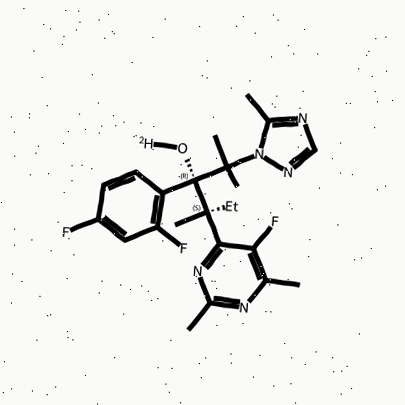 [2H]O[C@](c1ccc(F)cc1F)(C(C)(C)n1ncnc1C)[C@@](C)(CC)c1nc(C)nc(C)c1F